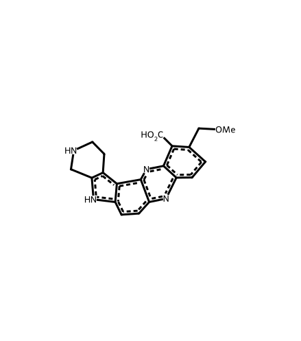 COCc1ccc2nc3ccc4[nH]c5c(c4c3nc2c1C(=O)O)CCNC5